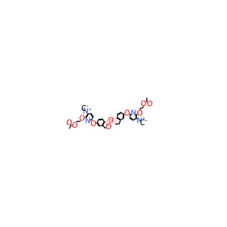 [C-]#[N+]c1ccc(Oc2ccc3c(c2)CCB3OB2OCc3cc(Oc4ccc([N+]#[C-])c(OCCOC(C)=O)n4)ccc32)nc1OCCOC(C)=O